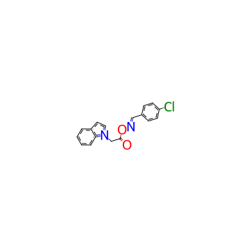 O=C(Cn1ccc2ccccc21)ON=Cc1ccc(Cl)cc1